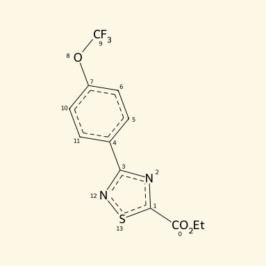 CCOC(=O)c1nc(-c2ccc(OC(F)(F)F)cc2)ns1